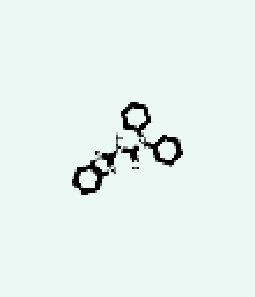 O=C(Nc1nc2c(s1)CCCC2)N(C1CCCCC1)C1CCCCC1